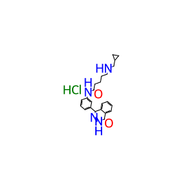 Cl.O=C(CCCCNCC1CC1)Nc1cccc(-c2n[nH]c(=O)c3ccccc23)c1